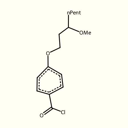 CCCCCC(CCOc1ccc(C(=O)Cl)cc1)OC